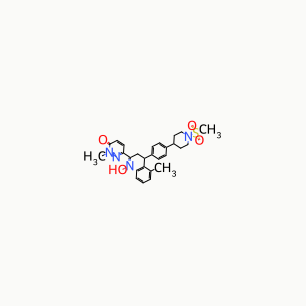 Cc1ccccc1C(C/C(=N/O)c1ccc(=O)n(C)n1)c1ccc(C2CCN(S(C)(=O)=O)CC2)cc1